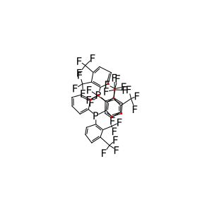 FC(F)(F)c1cccc(P(c2ccccc2P(c2cccc(C(F)(F)F)c2C(F)(F)F)c2cccc(C(F)(F)F)c2C(F)(F)F)c2cccc(C(F)(F)F)c2C(F)(F)F)c1C(F)(F)F